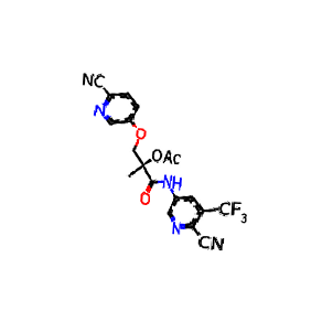 CC(=O)O[C@@](C)(COc1ccc(C#N)nc1)C(=O)Nc1cnc(C#N)c(C(F)(F)F)c1